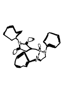 O=C1CC(P2(=O)N(c3ccccc3)CCN2c2ccccc2)C(=O)N1C1CCCCC1